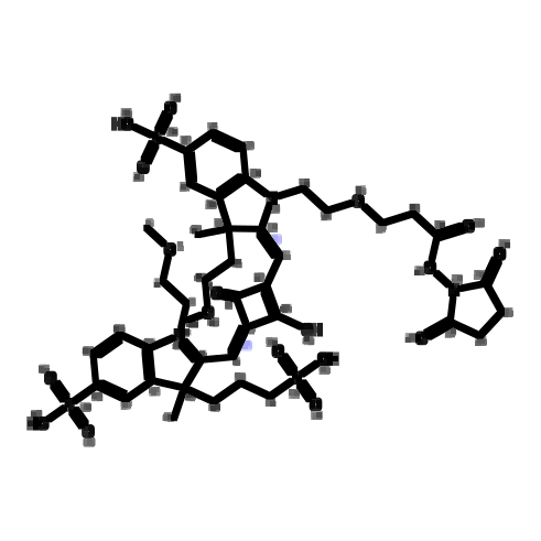 COCC[N+]1=C(/C=C2\C(=O)C(/C=C3/N(CCOCCC(=O)ON4C(=O)CCC4=O)c4ccc(S(=O)(=O)O)cc4C3(C)CCOC)=C2O)C(C)(CCCS(=O)(=O)O)c2cc(S(=O)(=O)O)ccc21